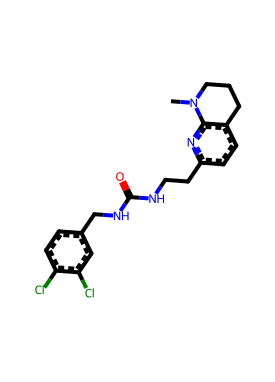 CN1CCCc2ccc(CCNC(=O)NCc3ccc(Cl)c(Cl)c3)nc21